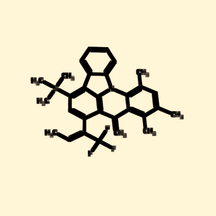 C=c1c2c(C)c(C)cc(C)c2n2c3ccccc3c3c([Si](C)(C)C)cc(/C(=C\C)C(F)(F)F)c1c32